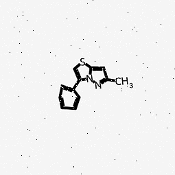 Cc1cc2scc(-c3ccccc3)n2n1